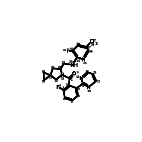 O=C(c1c(F)cccc1-c1ncccn1)N1CC2(CC2)CC1CNc1ncc(C(F)(F)F)cc1F